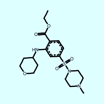 CCOC(=O)c1ccc(S(=O)(=O)N2CCN(C)CC2)cc1NC1CCOCC1